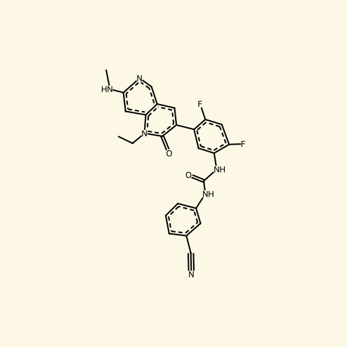 CCn1c(=O)c(-c2cc(NC(=O)Nc3cccc(C#N)c3)c(F)cc2F)cc2cnc(NC)cc21